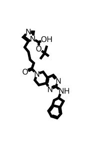 CC(C)(C)OC(O)n1cncc1CCCCC(=O)N1CCc2nc(NC3Cc4ccccc4C3)ncc2C1